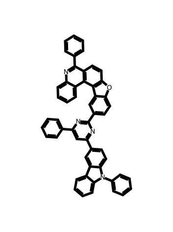 c1ccc(-c2cc(-c3ccc4c(c3)c3ccccc3n4-c3ccccc3)nc(-c3ccc4oc5ccc6c(-c7ccccc7)nc7ccccc7c6c5c4c3)n2)cc1